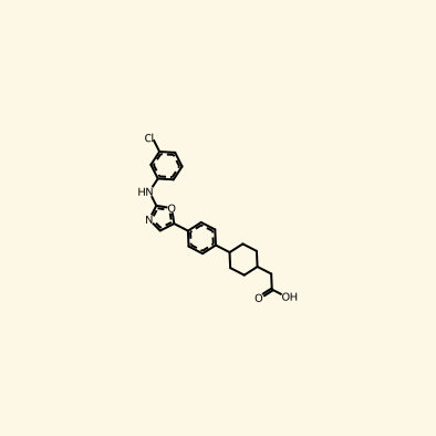 O=C(O)CC1CCC(c2ccc(-c3cnc(Nc4cccc(Cl)c4)o3)cc2)CC1